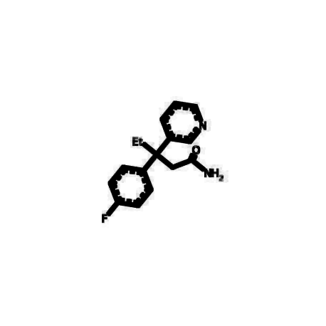 CCC(CC(N)=O)(c1ccc(F)cc1)c1cccnc1